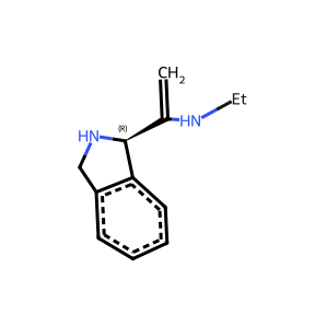 C=C(NCC)[C@@H]1NCc2ccccc21